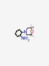 C[C@@H]1CN(c2ccccc2N)C[C@H](C)O1